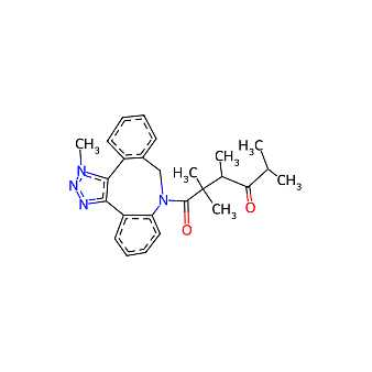 CC(C)C(=O)C(C)C(C)(C)C(=O)N1Cc2ccccc2-c2c(nnn2C)-c2ccccc21